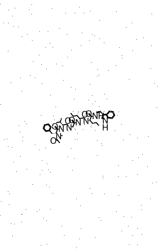 CC[C@H](C)[C@@H](C(=O)N/C=C\c1c[nH]c2ccccc12)N(C)C(=O)[C@H]([C@@H](C)CC)N(C)C(=O)[C@H](C)N(C)C(=O)[C@H](C(C)C)N(C)C(=O)[C@@H](Cc1ccccc1)N(C)C(C)=O